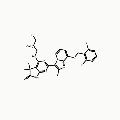 Cc1nc2c(OCc3c(F)cccc3F)cccn2c1-c1nc(NC[C@@H](O)CO)c2c(n1)NC(=O)C2(C)C